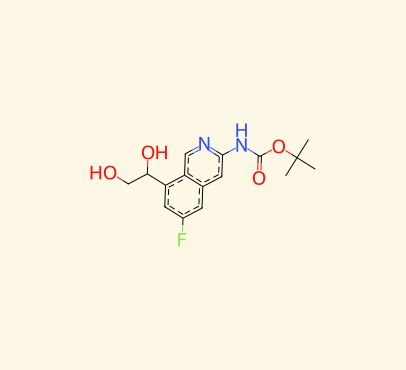 CC(C)(C)OC(=O)Nc1cc2cc(F)cc(C(O)CO)c2cn1